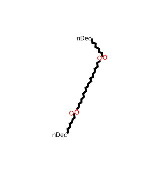 CCCCCCCCCCCCCCCCCC(=O)OCCCCCCCCCCCCCCCCCCCCOC(=O)CCCCCCCCCCCCCCCCC